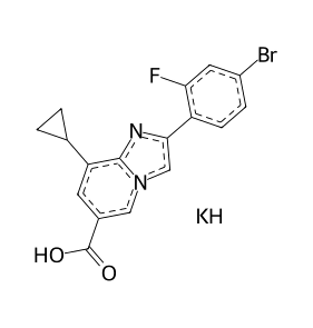 O=C(O)c1cc(C2CC2)c2nc(-c3ccc(Br)cc3F)cn2c1.[KH]